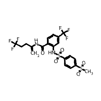 C=C(CCC(F)(F)F)NC(=O)c1ccc(C(F)(F)F)cc1NS(=O)(=O)c1ccc(S(C)(=O)=O)cc1